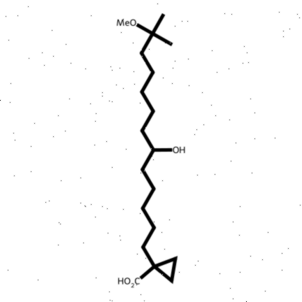 COC(C)(C)CCCCCC(O)CCCCCC1(C(=O)O)CC1